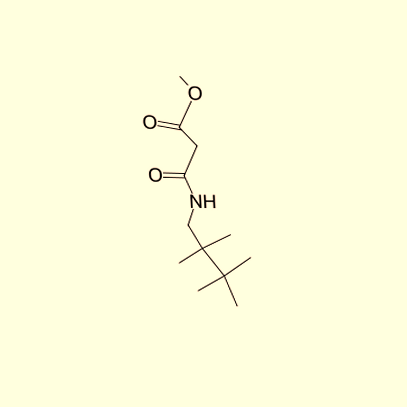 COC(=O)CC(=O)NCC(C)(C)C(C)(C)C